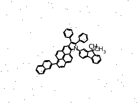 CC1(C)c2ccccc2-c2ccc(-n3c(-c4ccccc4)c(-c4ccccc4)c4cc5ccc6c(-c7ccc8ccccc8c7)ccc7ccc(c5c76)c43)cc21